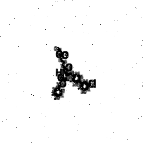 CCOC(=O)CCCC(=O)N[C@@H](CC(=O)OCC1=CC=CCC1)CC1=CC=C(C2=CCCC(Cl)=C2)CC1